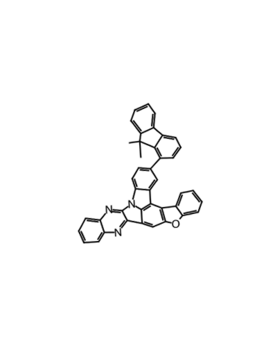 CC1(C)c2ccccc2-c2cccc(-c3ccc4c(c3)c3c5c(cc6c7nc8ccccc8nc7n4c63)oc3ccccc35)c21